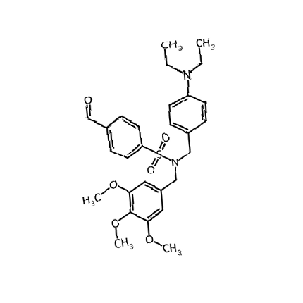 CCN(CC)c1ccc(CN(Cc2cc(OC)c(OC)c(OC)c2)S(=O)(=O)c2ccc(C=O)cc2)cc1